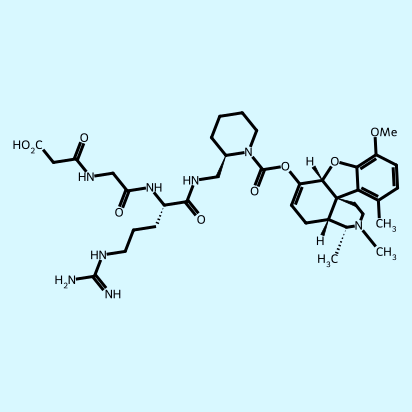 COc1ccc(C)c2c1O[C@H]1C(OC(=O)N3CCCC[C@@H]3CNC(=O)[C@H](CCCNC(=N)N)NC(=O)CNC(=O)CC(=O)O)=CC[C@H]3[C@@H](C)N(C)CC[C@]213